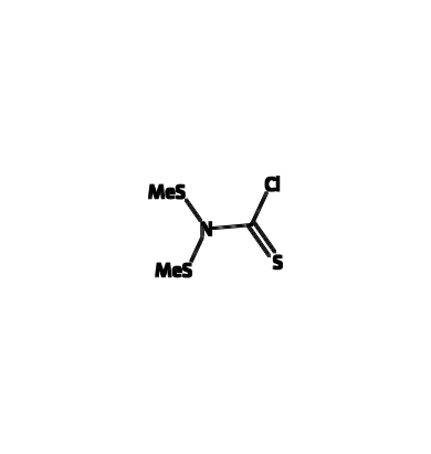 CSN(SC)C(=S)Cl